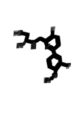 CC(C)Oc1ccc(-c2ccc(F)c(CN[C@@H](CO)C(C)C)n2)cc1F